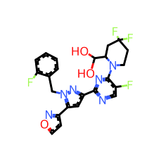 OC(O)C1CC(F)(F)CCN1c1nc(-c2cc(-c3ccon3)n(Cc3ccccc3F)n2)ncc1F